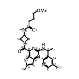 COCCCC(=O)NC1CN(C(=O)c2nc(NC(C)c3cncc(F)c3)nc3cc(C)sc23)C1